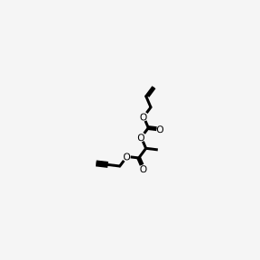 C#CCOC(=O)C(C)OC(=O)OCC=C